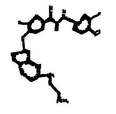 NCCNc1cnc2ccc(Oc3ccc(NC(=O)Nc4ccc(Cl)c(F)c4)cc3F)cc2n1